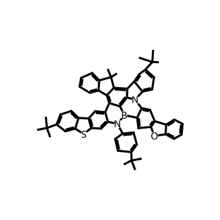 CC(C)(C)c1ccc(N2B3c4cc5oc6ccccc6c5cc4-n4c5ccc(C(C)(C)C)cc5c5c6c(c(c3c54)-c3cc4c(cc32)sc2cc(C(C)(C)C)ccc24)-c2ccccc2C6(C)C)cc1